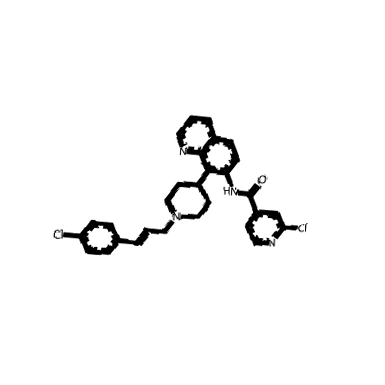 O=C(Nc1ccc2cccnc2c1C1CCN(C/C=C/c2ccc(Cl)cc2)CC1)c1ccnc(Cl)c1